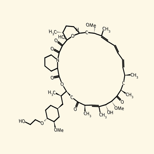 CO[C@H]1C[C@@H]2CC[C@@H](C)[C@@](O)(O2)C(=O)C(=O)N2CCCCC2C(=O)O[C@H]([C@H](C)C[C@@H]2CC[C@@H](OCCO)[C@H](OC)C2)CC(=O)[C@H](C)/C=C(\C)[C@@H](O)[C@@H](OC)C(=O)[C@H](C)C[C@H](C)/C=C/C=C/C=C/1C